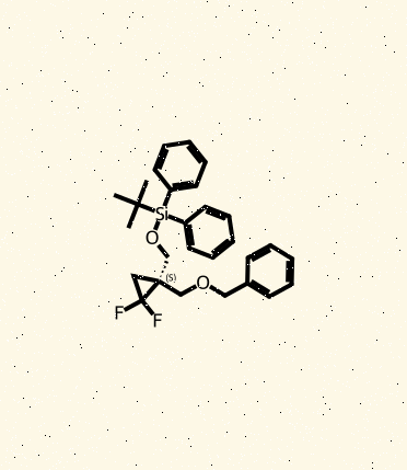 CC(C)(C)[Si](OC[C@@]1(COCc2ccccc2)CC1(F)F)(c1ccccc1)c1ccccc1